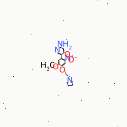 COc1cc(-c2ccc(N)nc2)c([N+](=O)[O-])cc1OCCCN1CCCC1